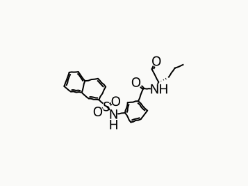 CCC[C@@H](C=O)NC(=O)c1cccc(NS(=O)(=O)c2ccc3ccccc3c2)c1